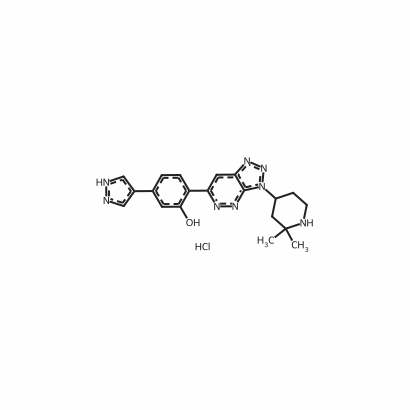 CC1(C)CC(n2nnc3cc(-c4ccc(-c5cn[nH]c5)cc4O)nnc32)CCN1.Cl